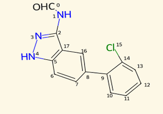 O=CNc1n[nH]c2ccc(-c3ccccc3Cl)cc12